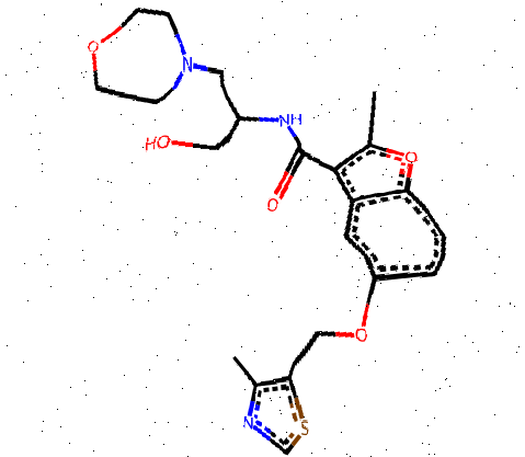 Cc1ncsc1COc1ccc2oc(C)c(C(=O)NC(CO)CN3CCOCC3)c2c1